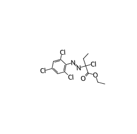 CCOC(=O)C(Cl)(CC)/N=N/c1c(Cl)cc(Cl)cc1Cl